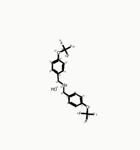 Cl.FC(F)(F)Oc1ccc(CNCc2ccc(OC(F)(F)F)cc2)cc1